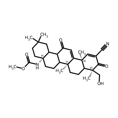 COC(=O)N[C@@]12CCC3C(C(=O)C=C4[C@@]5(C)C=C(C#N)C(=O)[C@@](C)(CO)C5CC[C@]43C)C1CC(C)(C)CC2